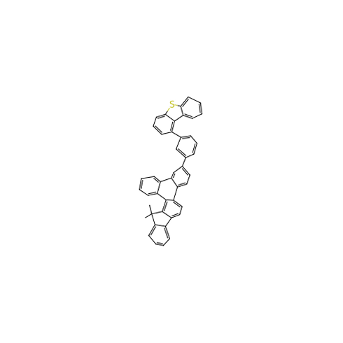 CC1(C)c2ccccc2-c2ccc3c4ccc(-c5cccc(-c6cccc7sc8ccccc8c67)c5)cc4c4ccccc4c3c21